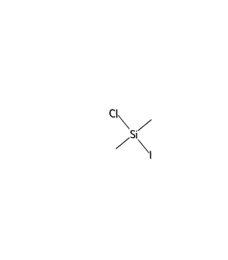 C[Si](C)(Cl)I